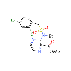 CCN(c1nccnc1C(=O)OC)S(=O)(=O)Cc1ccc(Cl)cc1Cl